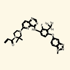 [2H]C([2H])([2H])c1c(Oc2ccc3c(c2)nnn3C)ccc(Nc2ncnc3ccc(N4CCN(C(=O)C=C)C(C)(C)C4)nc23)c1F